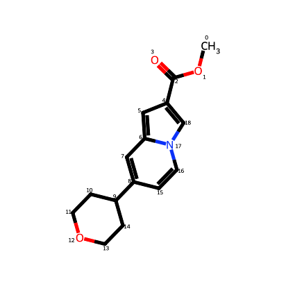 COC(=O)c1cc2cc(C3CCOCC3)ccn2c1